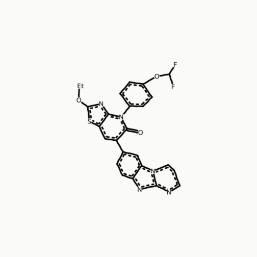 CCOc1nc2c(cc(-c3ccc4nc5ncccn5c4c3)c(=O)n2-c2ccc(OC(F)F)cc2)s1